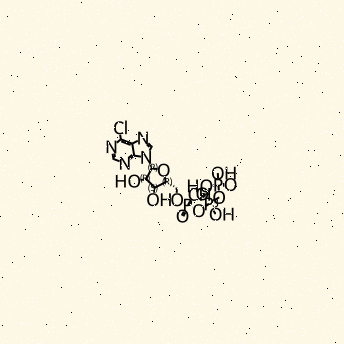 CP(=O)(OC[C@H]1O[C@@H](n2cnc3c(Cl)ncnc32)[C@H](O)[C@@H]1O)OP(=O)(O)OP(=O)(O)O